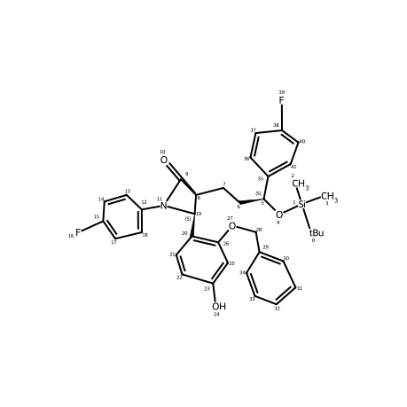 CC(C)(C)[Si](C)(C)O[C@@H](CCC1C(=O)N(c2ccc(F)cc2)[C@@H]1c1ccc(O)cc1OCc1ccccc1)c1ccc(F)cc1